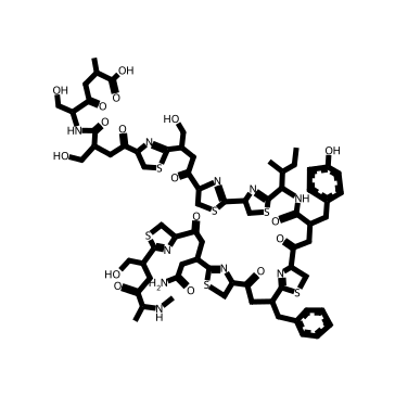 CCC(C)C(NC(=O)C(CC(=O)C1CSC(C(CC(=O)C2CSC(C(CC(N)=O)CC(=O)C3CSC(C(CO)CC(=O)C(C)NC)=N3)=N2)Cc2ccccc2)=N1)Cc1ccc(O)cc1)C1=NC(C2=NC(C(=O)CC(CO)C3=NC(C(=O)CC(CO)C(=O)NC(CO)C(=O)CC(C)C(=O)O)CS3)CS2)CS1